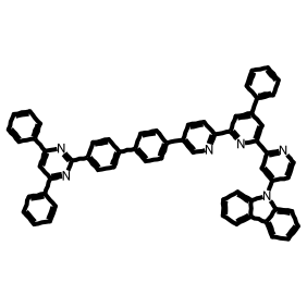 c1ccc(-c2cc(-c3ccc(-c4ccc(-c5ccc(-c6nc(-c7ccccc7)cc(-c7ccccc7)n6)cc5)cc4)cn3)nc(-c3cc(-n4c5ccccc5c5ccccc54)ccn3)c2)cc1